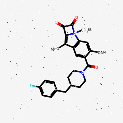 CCOC(=O)[N+]12C(=O)C(=O)C1=C(OC)c1cc(C(=O)N3CCC(Cc4ccc(F)cc4)CC3)c(OC)cc12